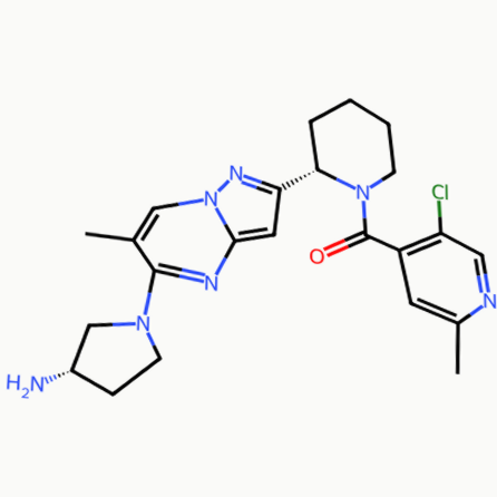 Cc1cc(C(=O)N2CCCC[C@H]2c2cc3nc(N4CC[C@H](N)C4)c(C)cn3n2)c(Cl)cn1